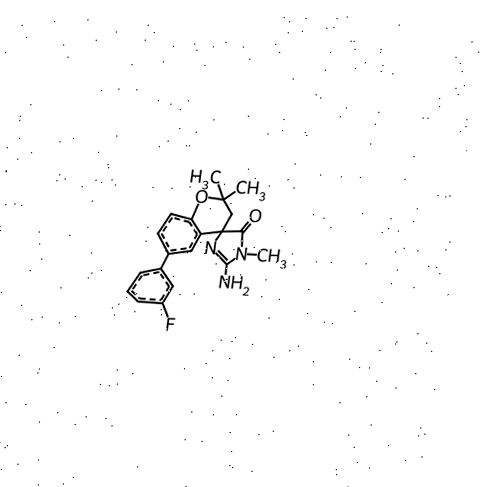 CN1C(=O)C2(CC(C)(C)Oc3ccc(-c4cccc(F)c4)cc32)N=C1N